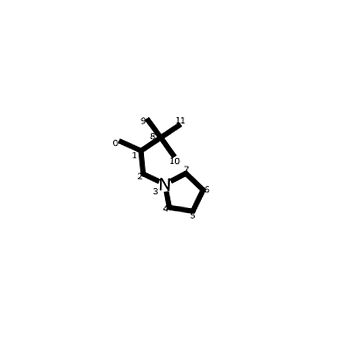 CC(CN1CCCC1)C(C)(C)C